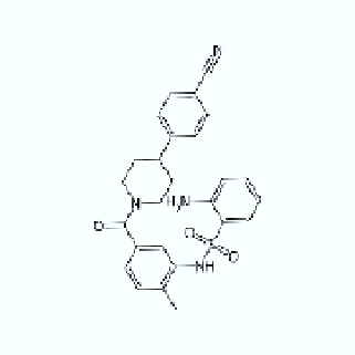 Cc1ccc(C(=O)N2CCC(c3ccc(C#N)cc3)CC2)cc1NS(=O)(=O)c1ccccc1N